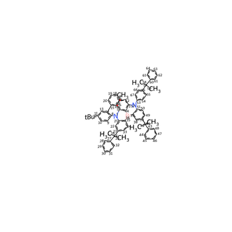 Cc1cc2c3c(c1)N(c1ccc(C(C)(C)C)cc1-c1ccccc1)c1cc(C(C)(C)c4ccccc4)ccc1B3c1cc(C(C)(C)c3ccccc3)ccc1N2c1ccc(C(C)(C)c2ccccc2)cc1